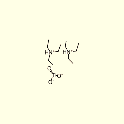 CC[NH+](CC)CC.CC[NH+](CC)CC.[O]=[Ti]([O-])[O-]